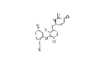 N#Cc1ccc(Cl)cc1Oc1c(Cl)ccc(Cc2ccc(=O)[nH]n2)c1F